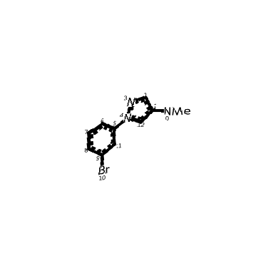 CNc1cnn(-c2cccc(Br)c2)c1